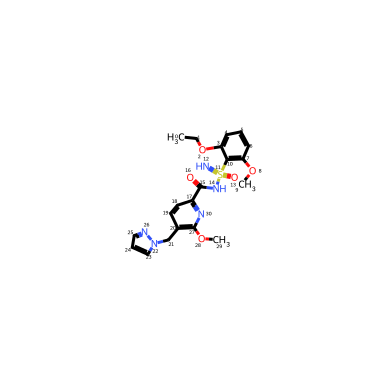 CCOc1cccc(OC)c1S(=N)(=O)NC(=O)c1ccc(Cn2cccn2)c(OC)n1